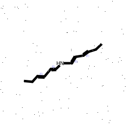 CC/C=C/C=C/N/C=C/C=C/CC